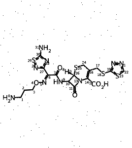 NCCCON=C(C(=O)NC1C(=O)N2C(C(=O)O)=C(CSc3nncs3)CS[C@@H]12)c1nsc(N)n1